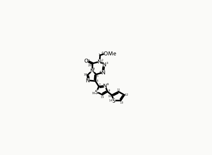 COCn1nnc2c(-c3nc(-c4cccs4)cs3)ncn2c1=O